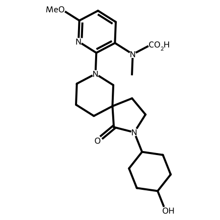 COc1ccc(N(C)C(=O)O)c(N2CCCC3(CCN(C4CCC(O)CC4)C3=O)C2)n1